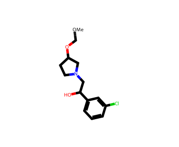 COCOC1CCN(CC(O)c2cccc(Cl)c2)C1